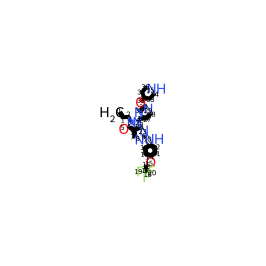 C=CCn1c(=O)c2cnc(Nc3ccc(OCC(F)(F)F)cc3)nc2n1-c1ccnc(OC2CCNCC2)n1